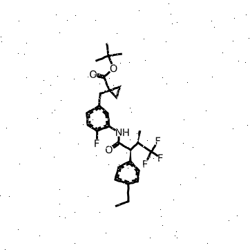 CCc1ccc([C@@H](C(=O)Nc2cc(CC3(C(=O)OC(C)(C)C)CC3)ccc2F)[C@@H](C)C(F)(F)F)cc1